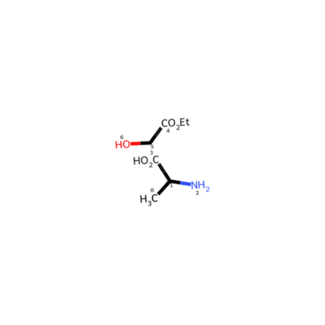 CC(N)C(=O)O.CCOC(=O)CO